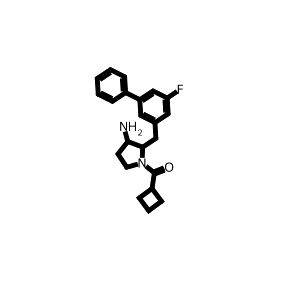 NC1CCN(C(=O)C2CCC2)C1Cc1cc(F)cc(-c2ccccc2)c1